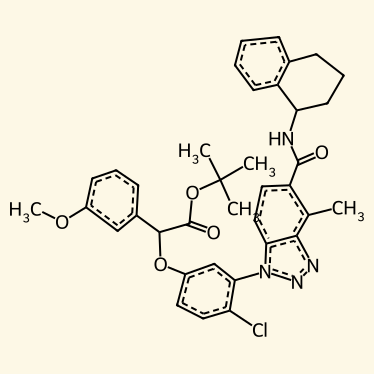 COc1cccc(C(Oc2ccc(Cl)c(-n3nnc4c(C)c(C(=O)NC5CCCc6ccccc65)ccc43)c2)C(=O)OC(C)(C)C)c1